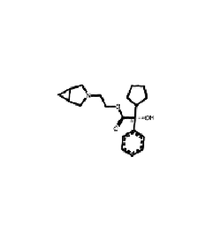 O=C(OCCN1CC2CC2C1)[C@](O)(c1ccccc1)C1CCCC1